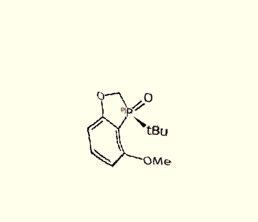 COc1cccc2c1[P@](=O)(C(C)(C)C)CO2